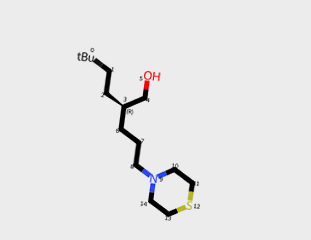 CC(C)(C)CC[C@@H](CO)CCCN1CCSCC1